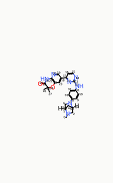 CN1C[C@@H]2C[C@H]1CN2c1ccc(Nc2nccc(-c3cnc4c(c3)OC(C)(C)C(=O)N4)n2)cc1